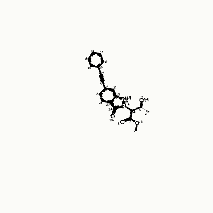 COC(=O)C([C@@H](C)O)n1[nH]c2cc(C#Cc3ccccc3)ccc2c1=O